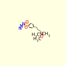 CO[Si](C)(C)CCCc1ccc(S(=O)(=O)N=[N+]=[N-])cc1